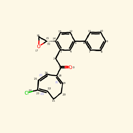 O=C(Cc1cc(-c2ccccc2)ccc1[C@H]1CO1)C1=C/CC/C=C(Cl)/C=C\1